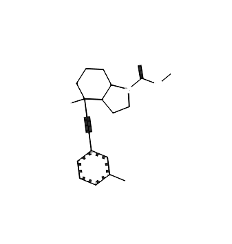 COC(=O)N1CCC2C1CCCC2(O)C#Cc1cccc(C)c1